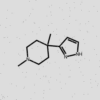 CN1CCC(C)(c2cc[nH]n2)CC1